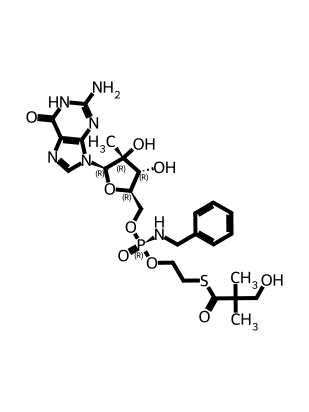 CC(C)(CO)C(=O)SCCO[P@@](=O)(NCc1ccccc1)OC[C@H]1O[C@@H](n2cnc3c(=O)[nH]c(N)nc32)[C@](C)(O)[C@@H]1O